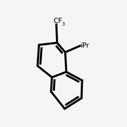 CC(C)c1c(C(F)(F)F)ccc2ccccc12